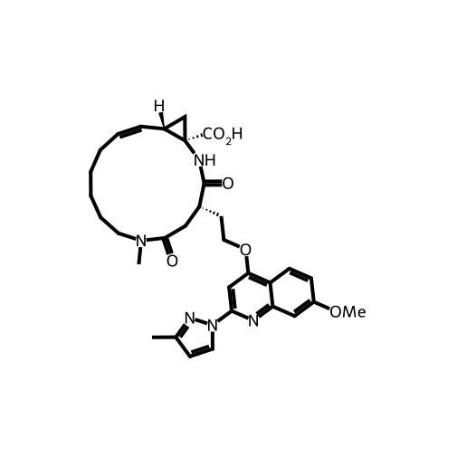 COc1ccc2c(OCC[C@@H]3CC(=O)N(C)CCCCC/C=C\[C@@H]4C[C@@]4(C(=O)O)NC3=O)cc(-n3ccc(C)n3)nc2c1